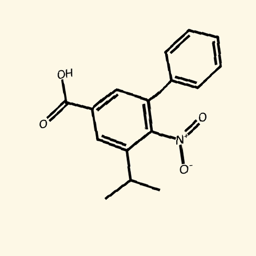 CC(C)c1cc(C(=O)O)cc(-c2ccccc2)c1[N+](=O)[O-]